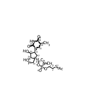 CC(=O)SCCOP(=O)(OC[C@@]1(CF)C[C@H](n2cc(C)c(=O)[nH]c2=O)C(O)[C@H]1O)N(C)C